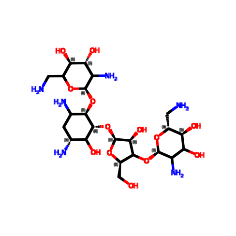 NCC1O[C@H](O[C@@H]2C(N)C[C@@H](N)C(O)[C@H]2O[C@@H]2O[C@H](CO)C(O[C@H]3O[C@H](CN)[C@@H](O)C(O)C3N)[C@@H]2O)C(N)[C@@H](O)[C@@H]1O